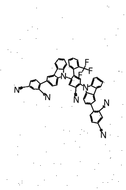 N#Cc1ccc(-c2ccc3c(c2)c2ccccc2n3-c2cc(-c3ccccc3C(F)(F)F)c(-n3c4ccccc4c4cc(-c5ccc(C#N)cc5C#N)ccc43)cc2C#N)c(C#N)c1